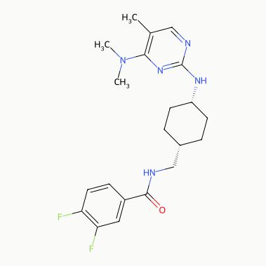 Cc1cnc(N[C@H]2CC[C@@H](CNC(=O)c3ccc(F)c(F)c3)CC2)nc1N(C)C